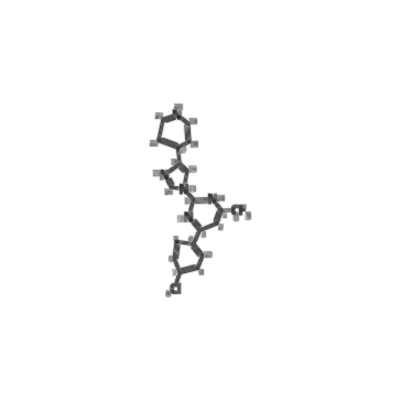 FC(F)(F)c1cc(-c2ccc(Cl)cc2)nc(-n2cnc(-c3ccncc3)c2)n1